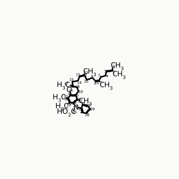 CC(C)=CCCC(C)=CCCC(C)=CCC[C@]1(C)CCc2c(C)c(N(C(=O)O)c3ccccc3)c(C)c(C)c2O1